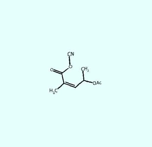 CC(=O)OC(C)C=C(C)C(=O)OC#N